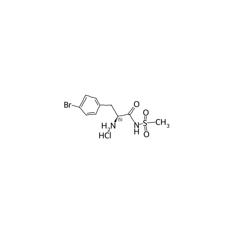 CS(=O)(=O)NC(=O)[C@@H](N)Cc1ccc(Br)cc1.Cl